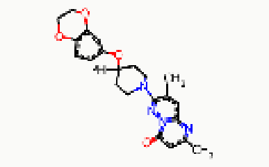 [2H]C1(Oc2ccc3c(c2)OCCO3)CCN(c2nn3c(=O)cc(C)nc3cc2C)CC1